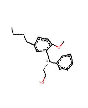 CCCCc1ccc(OC)c([C@@H](CCO)c2ccccc2)c1